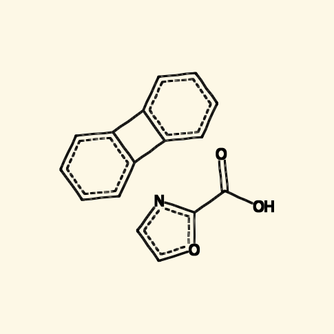 O=C(O)c1ncco1.c1ccc2c(c1)-c1ccccc1-2